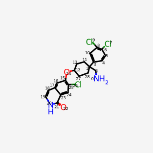 NCC1(c2ccc(Cl)c(Cl)c2)CCC(Oc2cc3cc[nH]c(=O)c3cc2Cl)CC1